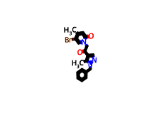 Cc1cc(=O)n(CC(=O)c2cnn(Cc3ccccc3)c2C)cc1Br